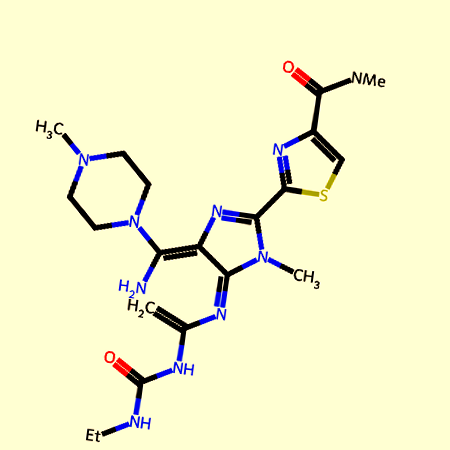 C=C(/N=C1\C(=C(/N)N2CCN(C)CC2)N=C(c2nc(C(=O)NC)cs2)N1C)NC(=O)NCC